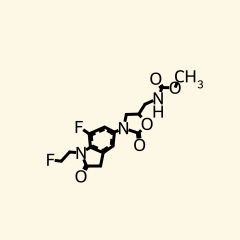 COC(=O)NCC1CN(c2cc(F)c3c(c2)CC(=O)N3CCF)C(=O)O1